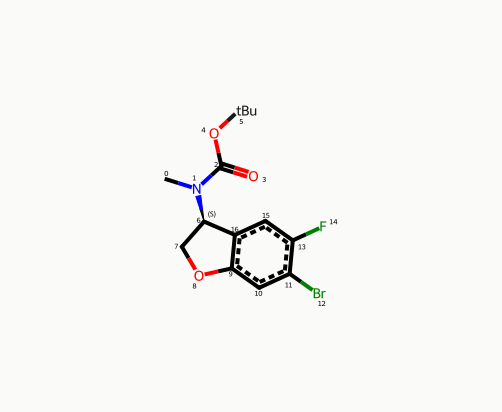 CN(C(=O)OC(C)(C)C)[C@@H]1COc2cc(Br)c(F)cc21